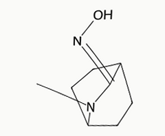 CN1/C(=N/O)C2CCC1CC2